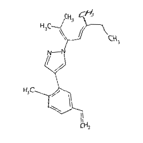 C=Cc1ccc(C)c(-c2cnn(C(/C=C(\C)CC)=C(C)C)c2)c1